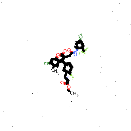 CCOC(=O)/C=C/c1cc(-c2c(CC(=O)Nc3ccc(Cl)cc3C(F)(F)F)c(=O)oc3cc(Cl)c(C)cc23)ccc1F